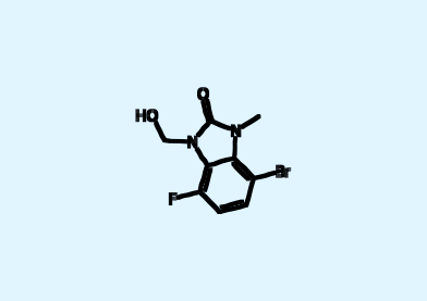 Cn1c(=O)n(CO)c2c(F)ccc(Br)c21